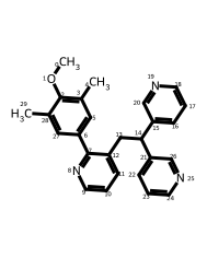 COc1c(C)cc(-c2ncccc2CC(c2cccnc2)c2cccnc2)cc1C